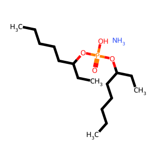 CCCCCC(CC)OP(=O)(O)OC(CC)CCCCC.N